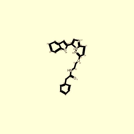 O=C(Cc1ccccc1)NCCOc1ccc2ncc(-c3cc4ccccc4o3)n2n1